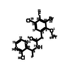 CC(C)Oc1c(CC(=O)NC(C)c2nccnc2Cl)cc(Cl)c(F)c1Br